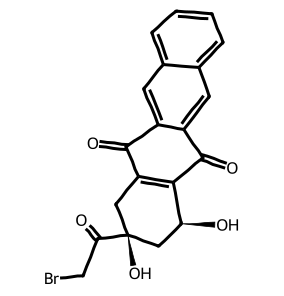 O=C1C2=C(C(=O)c3cc4ccccc4cc31)[C@@H](O)C[C@](O)(C(=O)CBr)C2